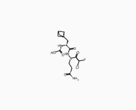 NC(=O)CCN(NC(=O)[C@H](CC12CC(C1)C2)NC(=O)O)C(=O)C(F)Cl